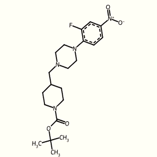 CC(C)(C)OC(=O)N1CCC(CN2CCN(c3ccc([N+](=O)[O-])cc3F)CC2)CC1